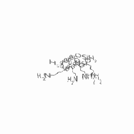 NCCC[SiH]1O[SiH2]O[SiH]2O[SiH]3O[SiH2]O[SiH](CCCN)O[Si](CCCN)(O3)O[Si](CCCN)(O1)O2